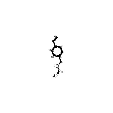 C=Cc1ccc(COP=O)cc1